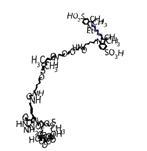 CCN1\C(=C/C=C/C=C/C2=[N+](CCCCCC(=O)NCCOCCOCCNOCCC(C)(C)SSCOCCCCCNC(=O)NCC#Cc3cn([C@H]4C[C@H](OCS(C)=S)[C@@H](COP(=O)(O)O[P@@](=O)(O)OP(=O)(O)O)O4)c4nc(N)[nH]c(=O)c34)c3ccc(S(=O)(=O)O)cc3C2(C)C)C(C)(C)c2cc(S(=O)(=O)O)ccc21